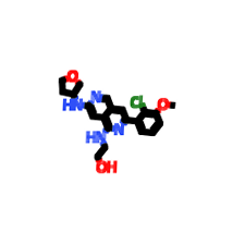 COc1cccc(-c2cc3cnc(NC4CCOC4)cc3c(NCCO)n2)c1Cl